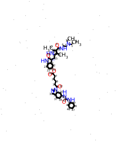 CCN(CC)CCNC(=O)c1c(C)[nH]c(/C=C2\C(=O)Nc3ccc(OC(=O)CCCCC(=O)n4ncc5ccc(NC(=O)Nc6ccccc6)cc54)cc32)c1C